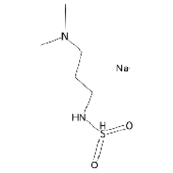 CN(C)CCCN[SH](=O)=O.[Na]